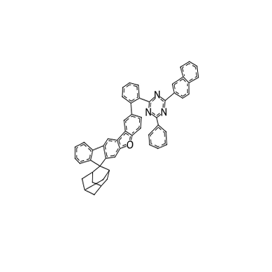 c1ccc(-c2nc(-c3ccc4ccccc4c3)nc(-c3ccccc3-c3ccc4oc5cc6c(cc5c4c3)-c3ccccc3C63C4CC5CC(C4)CC3C5)n2)cc1